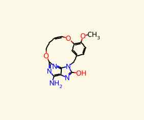 COc1ccc2cc1O/C=C\CCOc1nc(N)c3nc(O)n(c3n1)C2